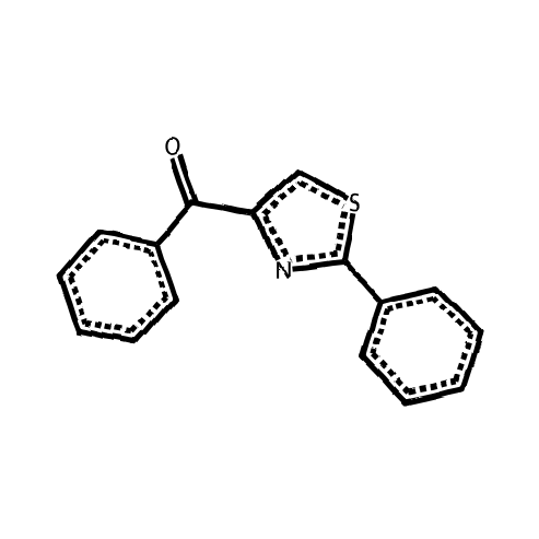 O=C(c1ccccc1)c1csc(-c2ccccc2)n1